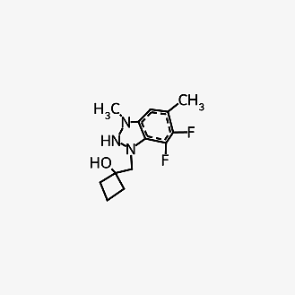 Cc1cc2c(c(F)c1F)N(CC1(O)CCC1)NN2C